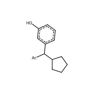 CC(=O)C(c1cccc(O)c1)C1CCCC1